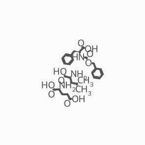 CC(C)C[C@H](N)C(=O)O.N[C@@H](CCC(=O)O)C(=O)O.O=C(N[C@@H](Cc1ccccc1)C(=O)O)OCc1ccccc1